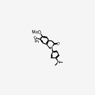 COc1cc2c(cc1OC(C)C)CN(c1ccc(N(C)C)cc1)C(=O)C2